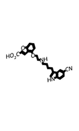 N#Cc1ccc2[nH]cc(CCCCNCCOc3cccc4oc(C(=O)O)cc34)c2c1